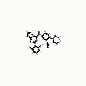 N#Cc1cc(Nc2nc(-c3c(F)cccc3F)nc3ccnn23)ccc1N1CCOCC1